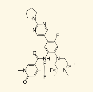 C[C@@H]1CN(c2cc(F)c(-c3cnc(N4CCCC4)nc3)cc2NC(=O)c2cn(C)c(=O)cc2C(F)(F)F)C[C@H](C)N1C